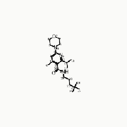 Cc1cc(N2CCOCC2)nc(C(C)C)c1C(=O)NCCCC(C)(C)C